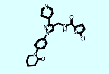 O=C(NCc1cn(-c2ccc(N3CCCCC3=O)cc2)nc1-c1ccncc1)c1ccc(Cl)s1